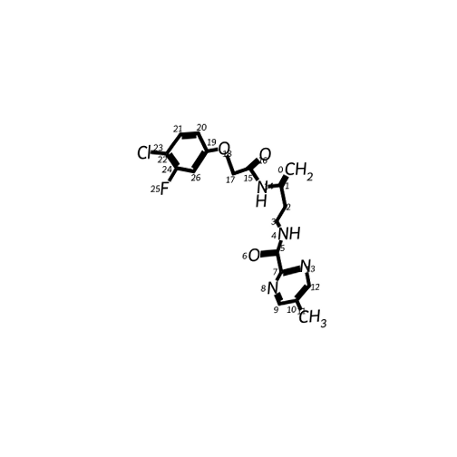 C=C(CCNC(=O)c1ncc(C)cn1)NC(=O)COc1ccc(Cl)c(F)c1